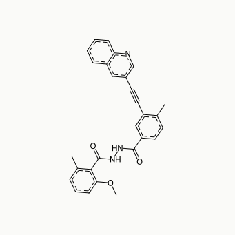 COc1cccc(C)c1C(=O)NNC(=O)c1ccc(C)c(C#Cc2cnc3ccccc3c2)c1